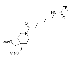 COCC1(COC)CCN(C(=O)CCCCCNC(=O)C(F)(F)F)CC1